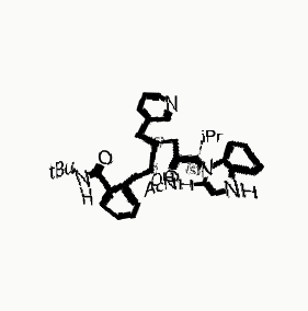 CC(=O)NC1=CNc2ccccc2N1[C@H](C(=O)C[C@H](Cc1cccnc1)[C@H](O)Cc1ccccc1C(=O)NC(C)(C)C)C(C)C